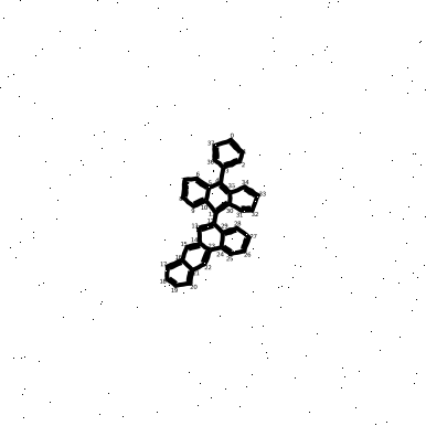 c1ccc(-c2c3ccccc3c(-c3cc4cc5ccccc5cc4c4ccccc34)c3ccccc23)cc1